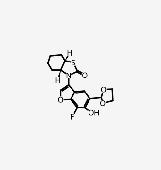 O=C1S[C@H]2CCCC[C@H]2N1c1coc2c(F)c(O)c(C3OCCO3)cc12